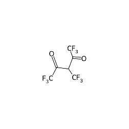 O=C(C(C(=O)C(F)(F)F)C(F)(F)F)C(F)(F)F